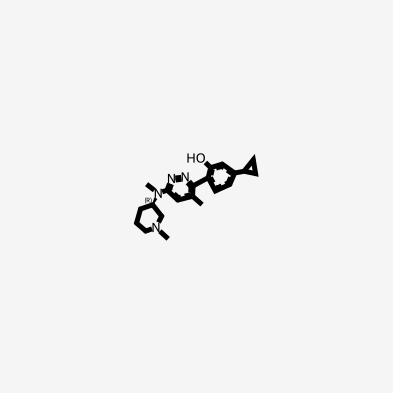 Cc1cc(N(C)[C@@H]2CCCN(C)C2)nnc1-c1ccc(C2CC2)cc1O